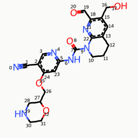 N#Cc1cnc(NC(=O)N2CCCc3cc(CO)c(C=O)nc32)cc1OCC1CNCCO1